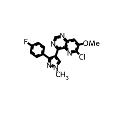 COc1cc2ncnc(-c3cn(C)nc3-c3ccc(F)cc3)c2nc1Cl